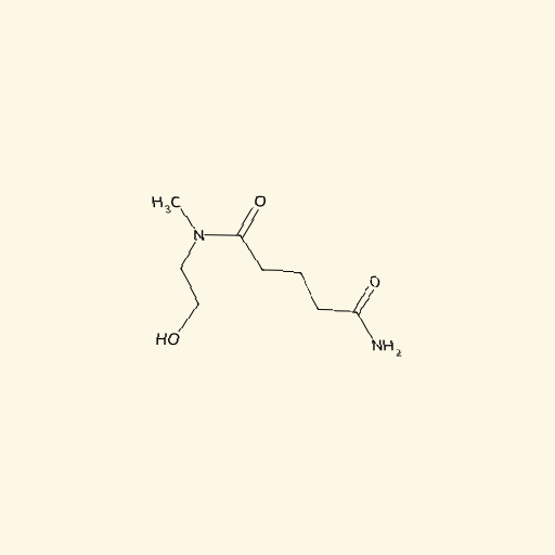 CN(CCO)C(=O)CCCC(N)=O